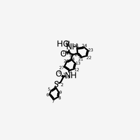 O=C(CSc1ccccc1)Nc1ccc(C(C(=O)NO)c2ccccc2)cc1